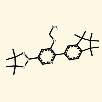 CC1(C)OB(c2cnc(-c3ccc4c(c3)C(C)(C)C(C)(C)C4(C)C)c(OCN)c2)OC1(C)C